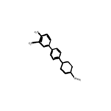 CCCCCC1CCC(c2ccc(-c3ccc(N)c([N+](=O)[O-])c3)cc2)CC1